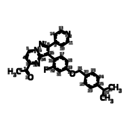 CC(=O)c1ccn2nc(-c3ccncc3)c(-c3ccc(OCc4ccc(C(C)C)cc4)cc3F)c2n1